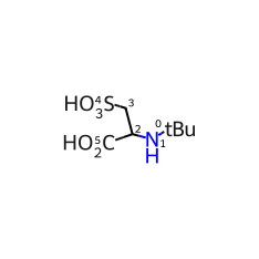 CC(C)(C)NC(CS(=O)(=O)O)C(=O)O